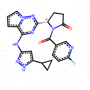 O=C1CC[C@@H](c2nc(Nc3cc(C4CC4)[nH]n3)c3cccn3n2)N1C(=O)c1ccc(F)nc1